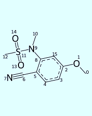 COc1ccc(C#N)c(N(C)S(C)(=O)=O)c1